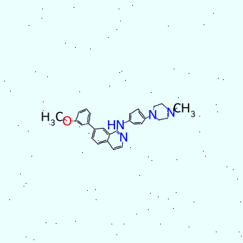 COc1cccc(-c2ccc3ccnc(Nc4ccc(N5CCN(C)CC5)cc4)c3c2)c1